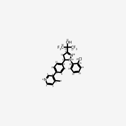 Cc1ccncc1-c1ccc(C2CC(C(O)(C(F)(F)F)C(F)(F)F)=NN2c2ccccc2Cl)cc1